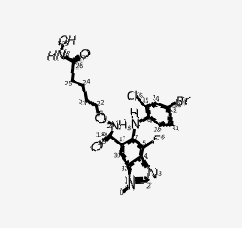 Cn1cnc2c(F)c(Nc3ccc(Br)cc3Cl)c(C(=O)NOCCCCC(=O)NO)cc21